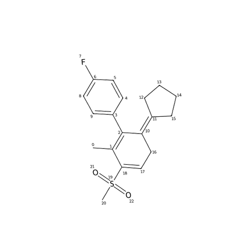 CC1=C(c2ccc(F)cc2)C(=C2CCCC2)CC=C1S(C)(=O)=O